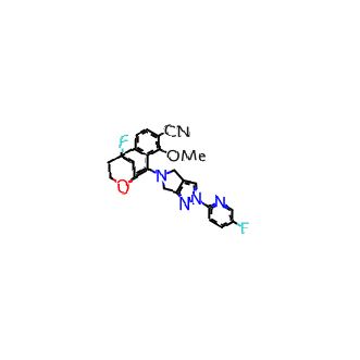 COc1c(C#N)ccc2c1C(N1Cc3cn(-c4ccc(F)cn4)nc3C1)=C1CC2(F)CCO1